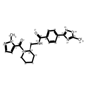 Cn1nccc1C(=O)N1CCCC[C@@H]1CNC(=O)c1ccc(-c2noc(C(F)(F)F)n2)cc1